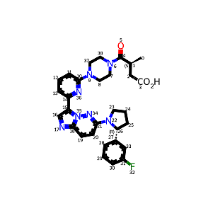 C[C@@H](CC(=O)O)C(=O)N1CCN(c2cccc(-c3cnc4ccc(N5CCC[C@@H]5c5cccc(F)c5)nn34)n2)CC1